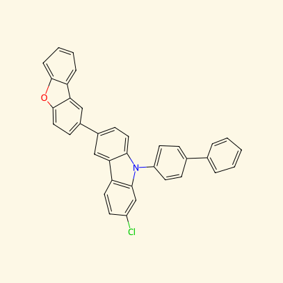 Clc1ccc2c3cc(-c4ccc5oc6ccccc6c5c4)ccc3n(-c3ccc(-c4ccccc4)cc3)c2c1